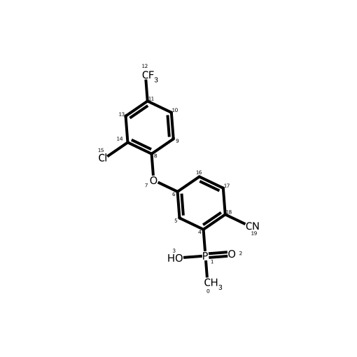 CP(=O)(O)c1cc(Oc2ccc(C(F)(F)F)cc2Cl)ccc1C#N